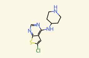 Clc1cc2c(NC3CCNCC3)ncnc2s1